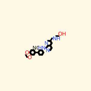 N#Cc1c(Nc2nccc3cc(CNCCO)cnc23)cccc1-c1ccc2c(c1)OCCO2